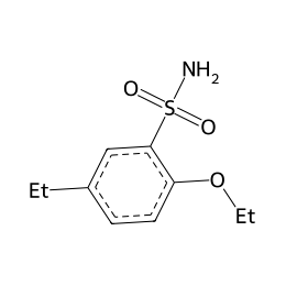 CCOc1ccc(CC)cc1S(N)(=O)=O